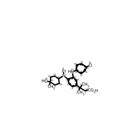 CCN(c1ccc(C(C)(C)CC(=O)O)cc1Nc1ccc(Cl)cc1)C1CCC(C)(O)CC1